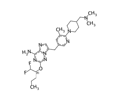 CCC[C@@H](Oc1nc(N)c2ncc(Cc3cnc(N4CCC(CN(C)C)CC4)c(C)c3)n2n1)C(F)F